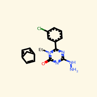 C1=CC2=CC=C1C2.CCn1c(-c2cccc(Cl)c2)nc(NN)nc1=O